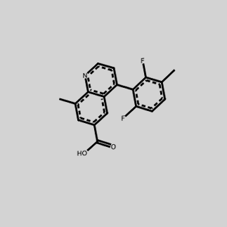 Cc1ccc(F)c(-c2ccnc3c(C)cc(C(=O)O)cc23)c1F